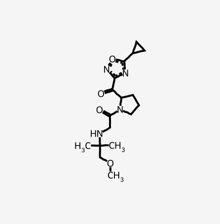 COCC(C)(C)NCC(=O)N1CCCC1C(=O)c1noc(C2CC2)n1